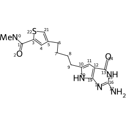 CNC(=O)c1cc(CCCCc2cc3c(=O)[nH]c(N)nc3[nH]2)cs1